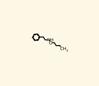 CCCCONCCc1cc[c]cc1